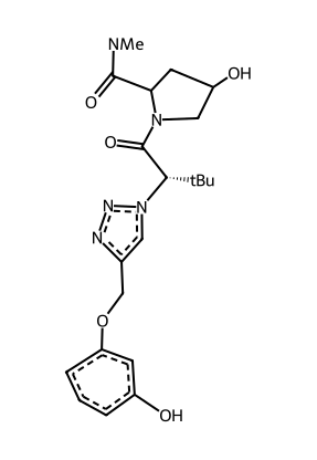 CNC(=O)C1CC(O)CN1C(=O)[C@@H](n1cc(COc2cccc(O)c2)nn1)C(C)(C)C